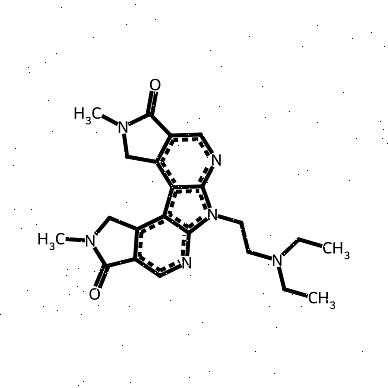 CCN(CC)CCn1c2ncc3c(c2c2c4c(cnc21)C(=O)N(C)C4)CN(C)C3=O